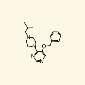 C[C](C)CN1CCN(c2ncncc2OCc2ccccc2)CC1